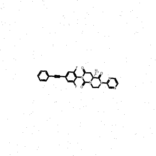 C[C@@]12CC(=O)N(c3c(F)cc(C#Cc4ccccc4)cc3F)C(=O)N1CCN(c1cnccn1)C2=O